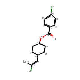 N#C/C(F)=C\C1CCC(OC(=O)c2ccc(F)cc2)CC1